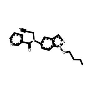 CCCCOn1ncc2cc(N(CC#N)C(=O)c3cccnc3)ccc21